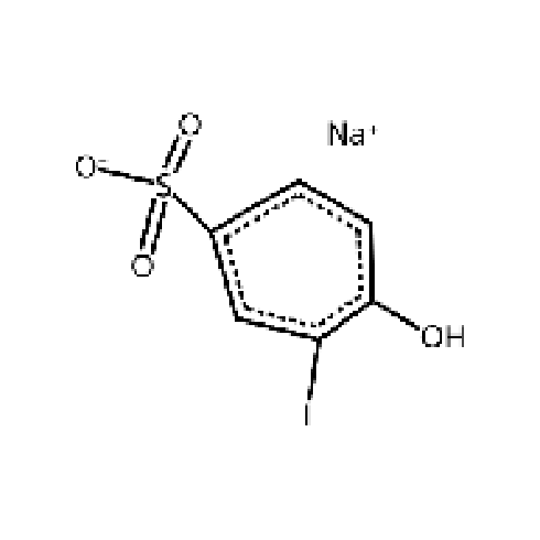 O=S(=O)([O-])c1ccc(O)c(I)c1.[Na+]